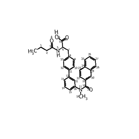 CCCC(=O)NC(Cc1ccc(-c2cccc(N(C)C(=O)c3ccc4ccccc4c3)c2)cc1)C(=O)O